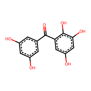 O=C(c1cc(O)cc(O)c1)c1cc(O)cc(O)c1O